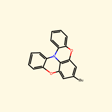 CCC(C)c1cc2c3c(c1)Oc1ccccc1N3c1ccccc1O2